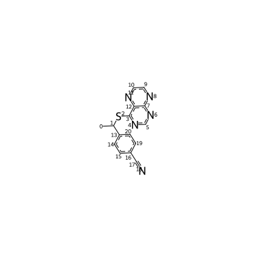 CC(Sc1ncnc2nccnc12)c1ccc(C#N)cc1